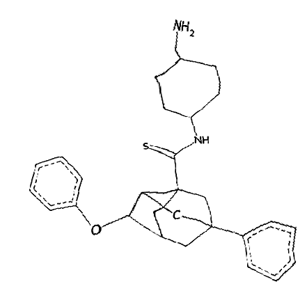 NC1CCC(NC(=S)C23CC4CC(c5ccccc5)(CC2C4Oc2ccccc2)C3)CC1